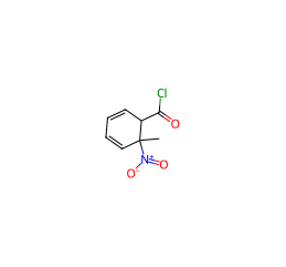 CC1([N+](=O)[O-])C=CC=CC1C(=O)Cl